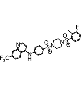 Cc1c(F)cccc1S(=O)(=O)N1CCN(S(=O)(=O)c2ccc(Nc3ccnc4cc(C(F)(F)F)ccc34)cc2)CC1